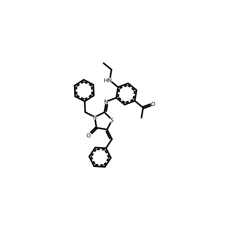 CCNc1ccc(C(C)=O)cc1N=C1SC(=Cc2ccccc2)C(=O)N1Cc1ccccc1